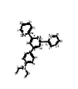 CCN(CC)c1ccc(-c2cc(-c3ccccn3)nc(-c3ccccn3)c2)cc1